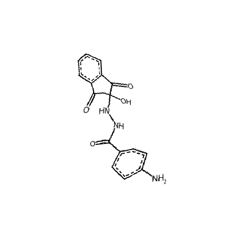 Nc1ccc(C(=O)NNC2(O)C(=O)c3ccccc3C2=O)cc1